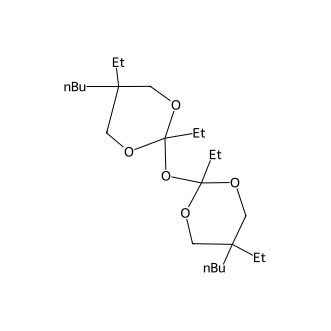 CCCCC1(CC)COC(CC)(OC2(CC)OCC(CC)(CCCC)CO2)OC1